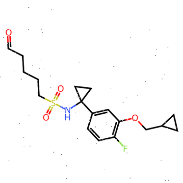 O=CCCCCS(=O)(=O)NC1(c2ccc(F)c(OCC3CC3)c2)CC1